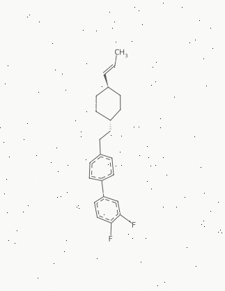 CC=C[C@H]1CC[C@H](CCc2ccc(-c3ccc(F)c(F)c3)cc2)CC1